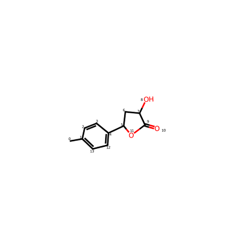 Cc1ccc(C2CC(O)C(=O)O2)cc1